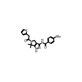 CC(C)(C)c1ccc(C(=O)Nc2n[nH]c3c2CN(C(=O)Cc2cccs2)C3(C)C)cc1